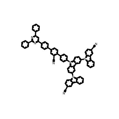 N#Cc1ccc2c(c1)c1ccccc1n2-c1ccc2c(c1)c1cc(-n3c4ccccc4c4cc(C#N)ccc43)ccc1n2-c1ccc(-c2ccc(-c3ccc(-c4cc(-c5ccccc5)nc(-c5ccccc5)n4)cc3)cc2C#N)cc1